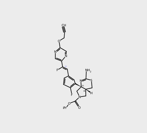 C#CCOc1cnc(/C(F)=C/c2ccc(F)c([C@]34CN(C(=O)OC(C)C)C[C@H]3CSC(N)=N4)c2)cn1